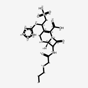 CCCSCC(=O)NC1C(=O)N2C(C(=O)O)=C(C(CS(=O)(=O)O)Sc3nnn[nH]3)CS[C@@H]12